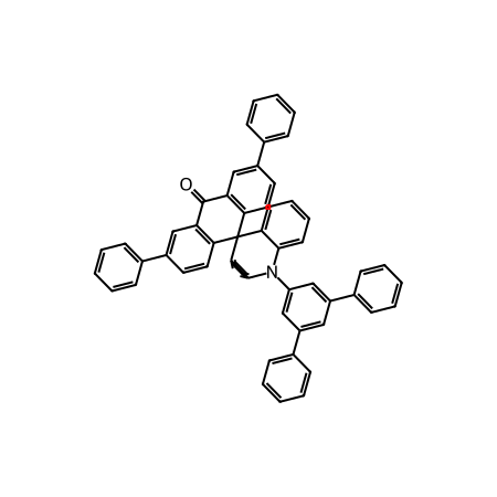 O=C1c2cc(-c3ccccc3)ccc2C2(c3ccc(-c4ccccc4)cc31)c1ccccc1N(c1cc(-c3ccccc3)cc(-c3ccccc3)c1)c1ccccc12